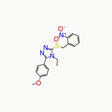 CCn1c(SCc2ccccc2[N+](=O)[O-])nnc1-c1ccc(OC)cc1